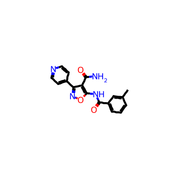 Cc1cccc(C(=O)Nc2onc(-c3ccncc3)c2C(N)=O)c1